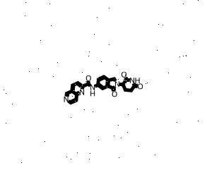 O=C1CCC(N2Cc3ccc(NC(=O)c4ccc5cnccc5n4)cc3C2=O)C(=O)N1